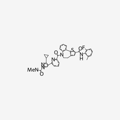 CNC(=O)n1cc(-c2cccc(C(=O)N3CCc4cc(C(=O)Nc5c(C)cccc5F)sc4-c4ccccc43)n2)c(C2CC2)n1